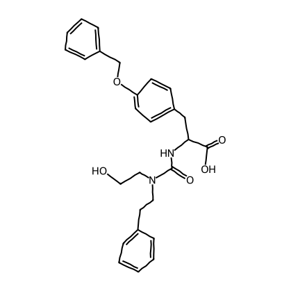 O=C(O)C(Cc1ccc(OCc2ccccc2)cc1)NC(=O)N(CCO)CCc1ccccc1